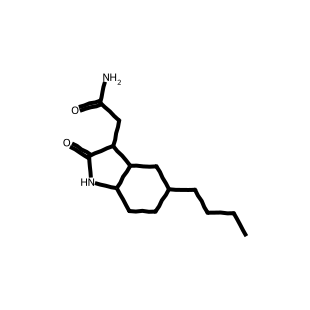 CCCCC1CCC2NC(=O)C(CC(N)=O)C2C1